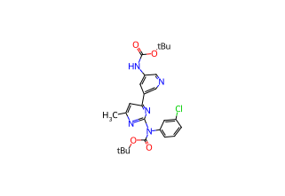 Cc1cc(-c2cncc(NC(=O)OC(C)(C)C)c2)nc(N(C(=O)OC(C)(C)C)c2cccc(Cl)c2)n1